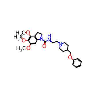 COc1cc2c(c(OC)c1OC)CCN2C(=O)NCCN1CCC(COc2ccccc2)CC1